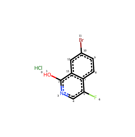 Cl.Oc1ncc(F)c2ccc(Br)cc12